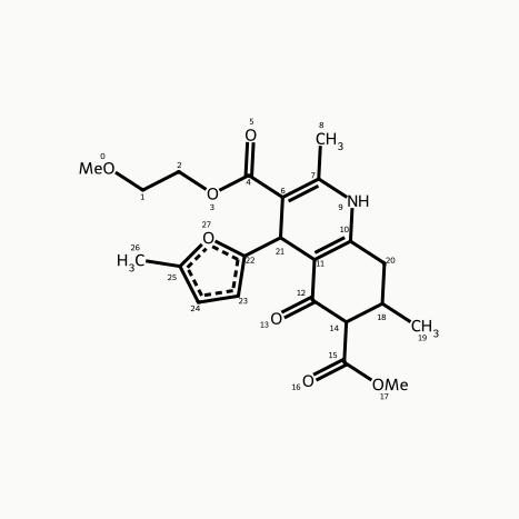 COCCOC(=O)C1=C(C)NC2=C(C(=O)C(C(=O)OC)C(C)C2)C1c1ccc(C)o1